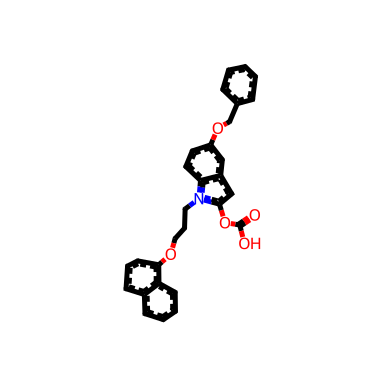 O=C(O)Oc1cc2cc(OCc3ccccc3)ccc2n1CCCOc1cccc2ccccc12